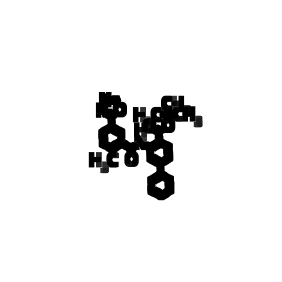 Cc1ccc(-c2nnco2)cc1C(=O)Nc1cc(-c2ccccc2)ccc1C(=O)OC(C)(C)C